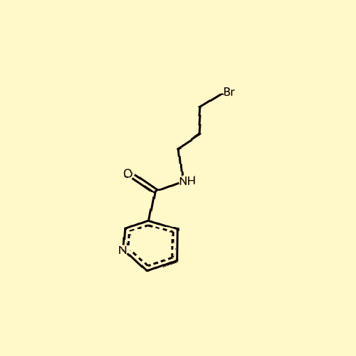 O=C(NCCCBr)c1cccnc1